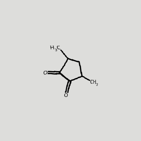 CC1CC(C)C(=O)C1=O